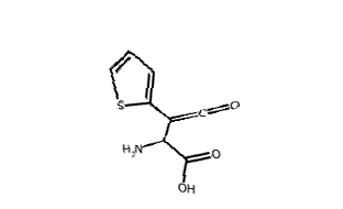 NC(C(=O)O)C(=C=O)c1cccs1